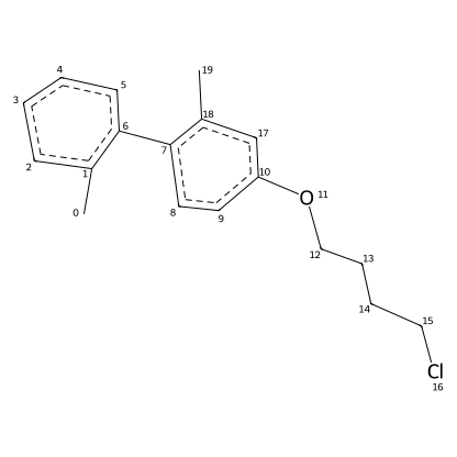 Cc1ccccc1-c1ccc(OCCCCCl)cc1C